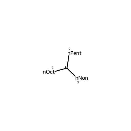 [CH2]CCCCC(CCCCCCCC)CCCCCCCCC